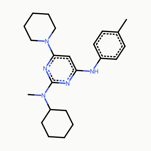 Cc1ccc(Nc2cc(N3CCCCC3)nc(N(C)C3CCCCC3)n2)cc1